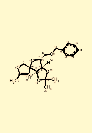 CC1=N[C@]2(CO1)O[C@H](COCc1ccccc1)[C@H]1OC(C)(C)O[C@H]12